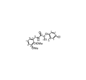 CCC(Oc1ccc(Cl)cc1C)C(=O)NCc1cccc(OC)c1OC